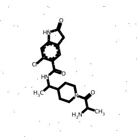 CC(N)C(=O)N1CCC(C(C)NC(=O)c2cc3c(cc2Cl)NC(=O)C3)CC1